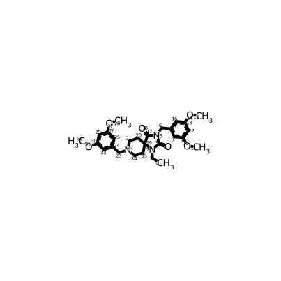 CCN1C(=O)N(Cc2cc(OC)cc(OC)c2)C(=O)C12CCN(Cc1cc(OC)cc(OC)c1)CC2